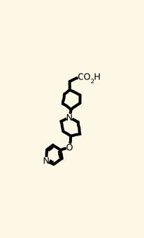 O=C(O)CC1CCC(N2CCC(Oc3ccncc3)CC2)CC1